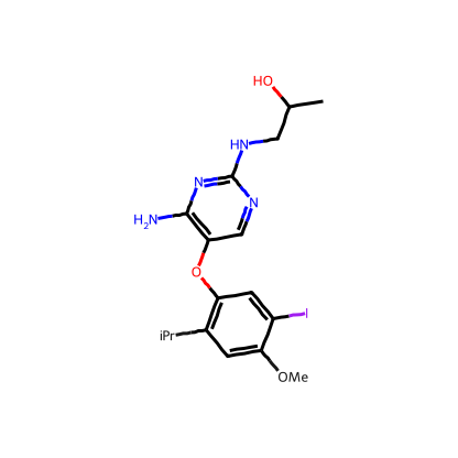 COc1cc(C(C)C)c(Oc2cnc(NCC(C)O)nc2N)cc1I